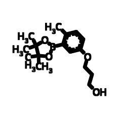 Cc1ccc(OCCCO)cc1B1OC(C)(C)C(C)(C)O1